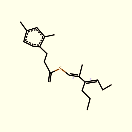 C=C(CCc1ccc(C)cc1C)S/C=C(C)/C(=C/CC)CCC